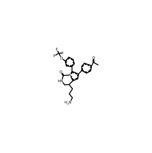 CC(=O)c1ccc(-c2cc3n(c2-c2cccc(OC(F)(F)F)c2)C(=O)NCC3CCCN)cc1